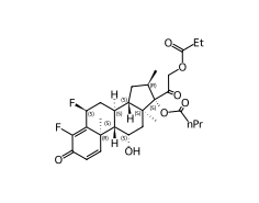 CCCC(=O)O[C@@]1(C(=O)COC(=O)CC)[C@H](C)C[C@H]2[C@@H]3C[C@H](F)C4=C(F)C(=O)C=C[C@]4(C)[C@H]3[C@@H](O)C[C@@]21C